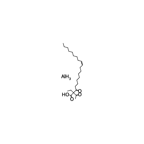 CCCCCCCC/C=C\CCCCCCCC(=O)C(CC)(C(C)=O)C(=O)O.[AlH3]